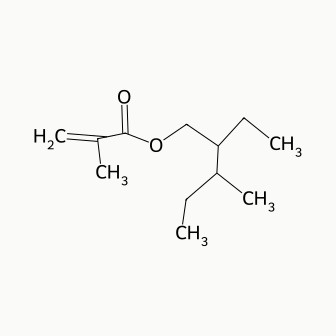 C=C(C)C(=O)OCC(CC)C(C)CC